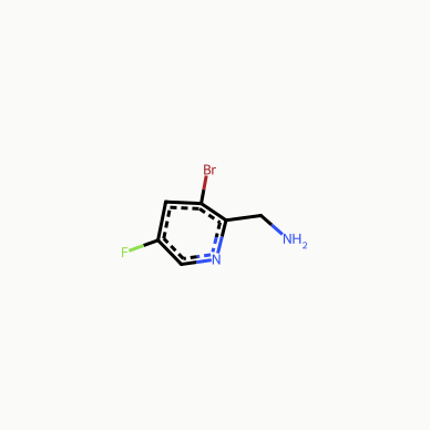 NCc1ncc(F)cc1Br